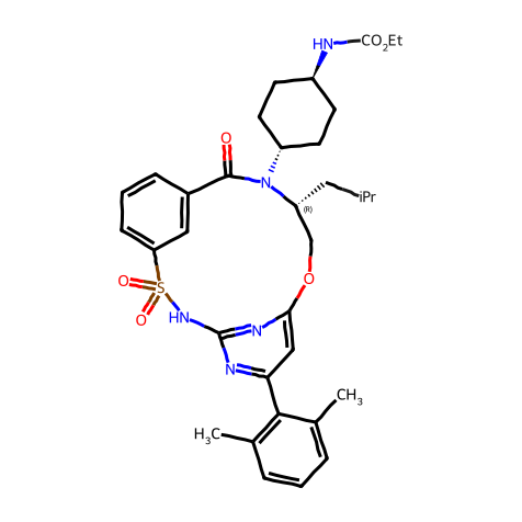 CCOC(=O)N[C@H]1CC[C@H](N2C(=O)c3cccc(c3)S(=O)(=O)Nc3nc(cc(-c4c(C)cccc4C)n3)OC[C@H]2CC(C)C)CC1